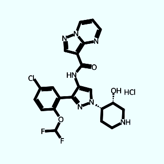 Cl.O=C(Nc1cn([C@H]2CCNC[C@H]2O)nc1-c1cc(Cl)ccc1OC(F)F)c1cnn2cccnc12